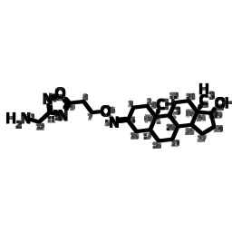 C[C@]12CCC(=NOCCc3nc(CN)no3)CC1CCC1C2CC[C@@]2(C)C1CC[C@@H]2O